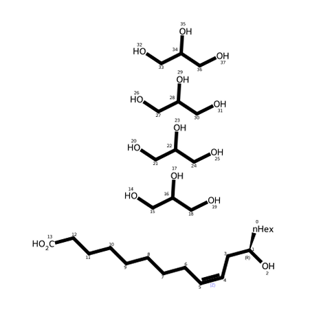 CCCCCC[C@@H](O)C/C=C\CCCCCCCC(=O)O.OCC(O)CO.OCC(O)CO.OCC(O)CO.OCC(O)CO